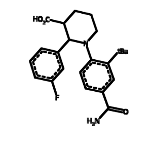 CC(C)(C)c1cc(C(N)=O)ccc1N1CCCC(C(=O)O)C1c1cccc(F)c1